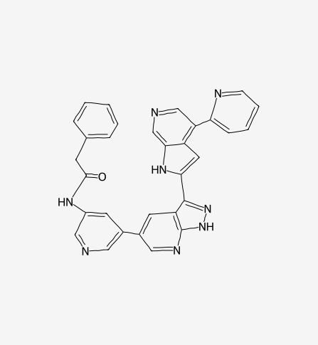 O=C(Cc1ccccc1)Nc1cncc(-c2cnc3[nH]nc(-c4cc5c(-c6ccccn6)cncc5[nH]4)c3c2)c1